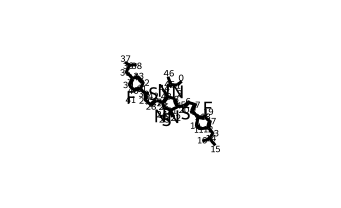 Cc1nc2c(-c3ccc(-c4ccc(CC(C)C)cc4F)s3)c3nsnc3c(-c3ccc(-c4ccc(CC(C)C)cc4F)s3)c2nc1C